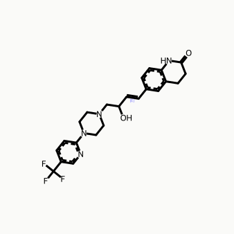 O=C1CCc2cc(/C=C/C(O)CN3CCN(c4ccc(C(F)(F)F)cn4)CC3)ccc2N1